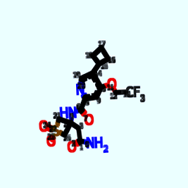 NC(=O)CC1(NC(=O)c2cc(OCC(F)(F)F)c(C3CCC3)cn2)CS(=O)(=O)C1